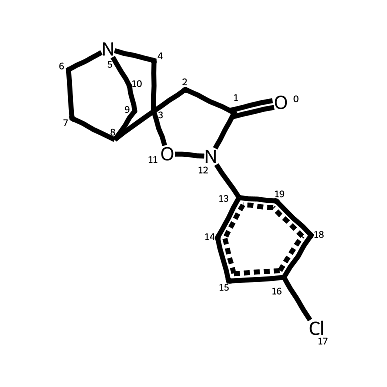 O=C1CC2(CN3CCC2CC3)ON1c1ccc(Cl)cc1